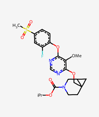 COc1c(OCC23CCN(C(=O)OC(C)C)CC2C3)ncnc1Oc1ccc(S(C)(=O)=O)cc1F